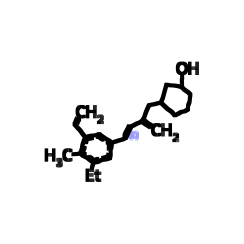 C=Cc1cc(/C=C/C(=C)CC2CCCC(O)C2)cc(CC)c1C